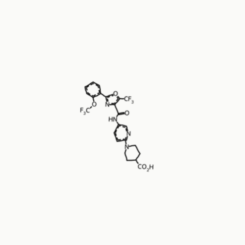 O=C(Nc1ccc(N2CCC(C(=O)O)CC2)nc1)c1nc(-c2ccccc2OC(F)(F)F)oc1C(F)(F)F